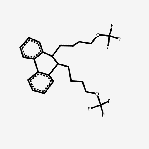 FC(F)(F)OCCCCC1c2ccccc2-c2ccccc2C1CCCCOC(F)(F)F